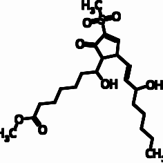 CCCCCC(O)C=CC1C=C(S(C)(=O)=O)C(=O)C1C(O)CCCCCC(=O)OC